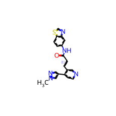 Cn1cc(-c2ccncc2/C=C/C(=O)Nc2ccc3scnc3c2)cn1